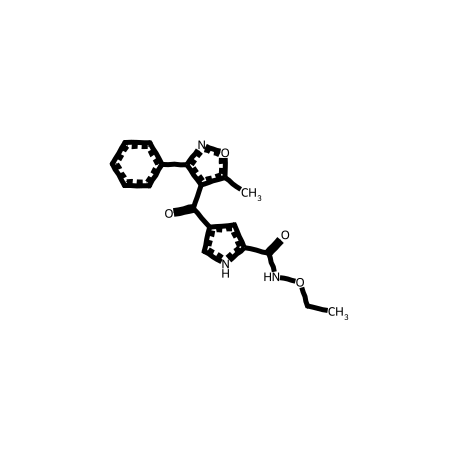 CCONC(=O)c1cc(C(=O)c2c(-c3ccccc3)noc2C)c[nH]1